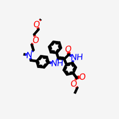 CCOC(=O)c1ccc2c(c1)NC(=O)C2=C(Nc1ccc(CN(C)CCOCCOC)cc1)c1ccccc1